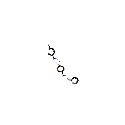 O=C(NCc1ccccc1)c1ccc(S(=O)(=O)NC(=O)c2ccc(CO)nc2)cc1